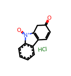 Cl.O=C1C=CC2=C(C1)[N+](=O)c1ccccc12